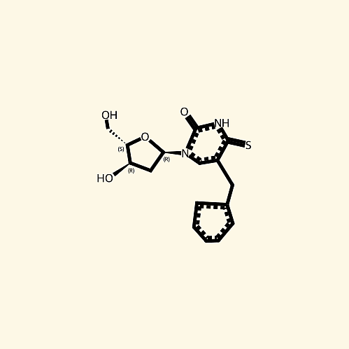 O=c1[nH]c(=S)c(Cc2ccccc2)cn1[C@H]1C[C@@H](O)[C@H](CO)O1